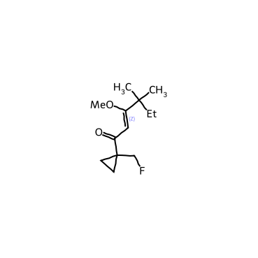 CCC(C)(C)/C(=C/C(=O)C1(CF)CC1)OC